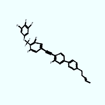 C/C=C/CCc1ccc(-c2ccc(C#Cc3cc(F)c(C(F)(F)Oc4cc(F)c(F)c(F)c4)c(F)c3)c(F)c2)cc1